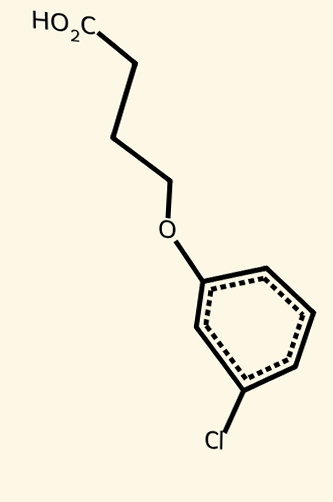 O=C(O)CCCOc1cccc(Cl)c1